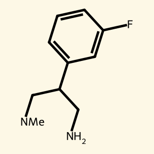 CNCC(CN)c1cccc(F)c1